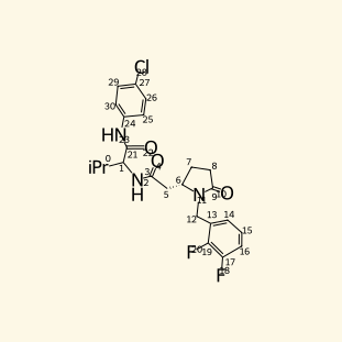 CC(C)C(NC(=O)C[C@@H]1CCC(=O)N1Cc1cccc(F)c1F)C(=O)Nc1ccc(Cl)cc1